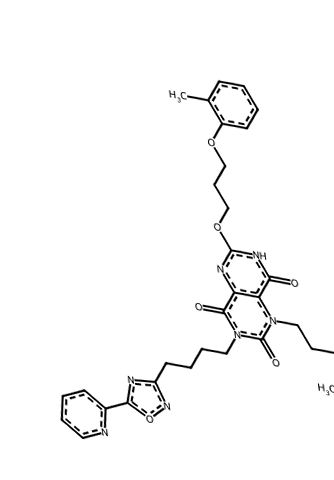 Cc1ccccc1OCCCOc1nc2c(=O)n(CCCCc3noc(-c4ccccn4)n3)c(=O)n(CCCC3(C)CC3)c2c(=O)[nH]1